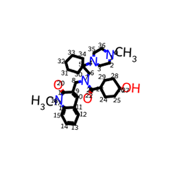 CN1CCN(C2(CN(Cc3cc4ccccc4n(C)c3=O)C(=O)C3CCC(O)CC3)CCCCC2)CC1